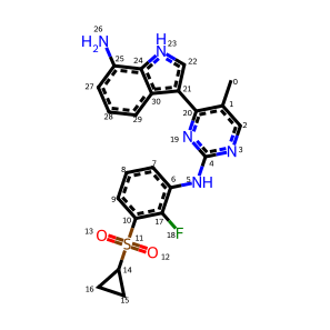 Cc1cnc(Nc2cccc(S(=O)(=O)C3CC3)c2F)nc1-c1c[nH]c2c(N)cccc12